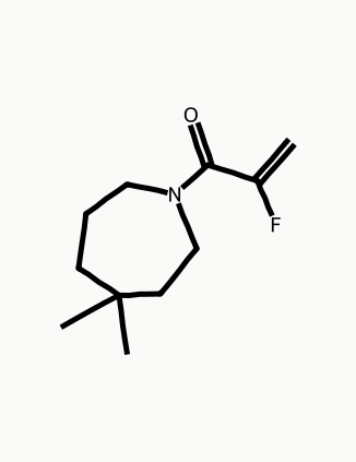 C=C(F)C(=O)N1CCCC(C)(C)CC1